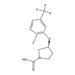 O=C(O)N1CC[C@H](Oc2cc(C(F)(F)F)ccc2F)C1